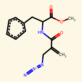 C=C(CN=[N+]=[N-])C(=O)NC(Cc1ccccc1)C(=O)OC